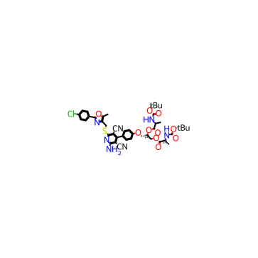 Cc1oc(-c2ccc(Cl)cc2)nc1CSc1nc(N)c(C#N)c(-c2ccc(OC[C@@H](COC(=O)[C@H](C)NC(=O)OC(C)(C)C)OC(=O)C(C)NC(=O)OC(C)(C)C)cc2)c1C#N